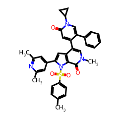 Cc1ccc(S(=O)(=O)n2c(-c3cc(C)nc(C)c3)cc3c(-c4cc(=O)n(C5CC5)cc4-c4ccccc4)cn(C)c(=O)c32)cc1